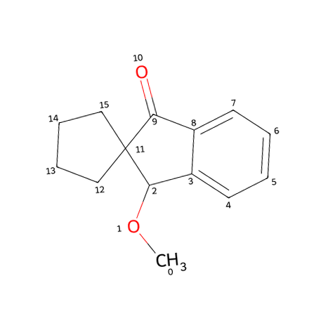 COC1c2ccccc2C(=O)C12CCCC2